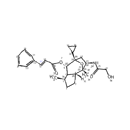 C[C@@H]1CC[C@@H]2C1[C@H](OC(=O)/C=C/c1ccccc1)[C@]1(C3CC3)C[C@@H](NC(=O)CO)[C@@]2(C)O1